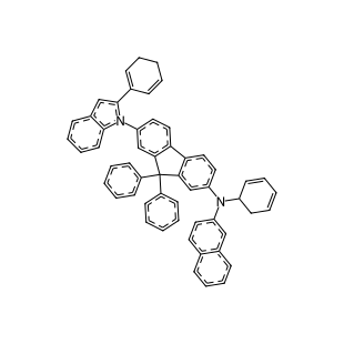 C1=CCC(N(c2ccc3c(c2)C(c2ccccc2)(c2ccccc2)c2cc(-n4c(C5=CCCC=C5)cc5ccccc54)ccc2-3)c2ccc3ccccc3c2)C=C1